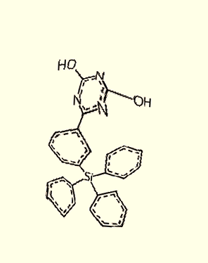 Oc1nc(O)nc(-c2cccc([Si](c3ccccc3)(c3ccccc3)c3ccccc3)c2)n1